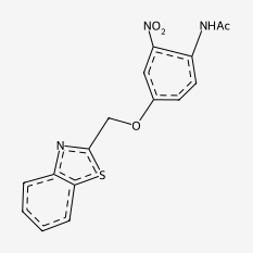 CC(=O)Nc1ccc(OCc2nc3ccccc3s2)cc1[N+](=O)[O-]